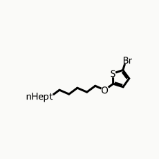 CCCCCCCCCCCCOc1ccc(Br)s1